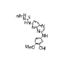 CCCNC(=S)Nc1ccc2ncc(Nc3ccc(OC)c(O)c3)nc2n1